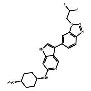 CO[C@H]1CC[C@@H](Nc2ncc3c(-c4ccc5nnn(CC(F)F)c5c4)c[nH]c3n2)CC1